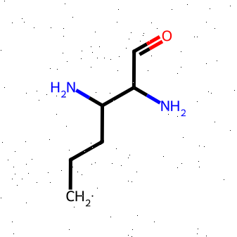 [CH2]CCC(N)C(N)C=O